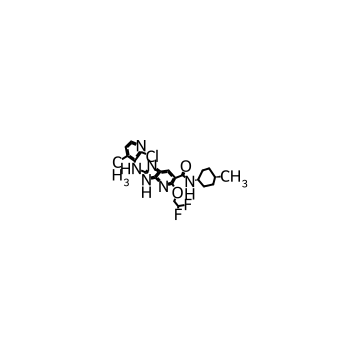 Cc1ccnc(Cl)c1Nc1nc2cc(C(=O)N[C@H]3CC[C@H](C)CC3)c(OCC(F)F)nc2[nH]1